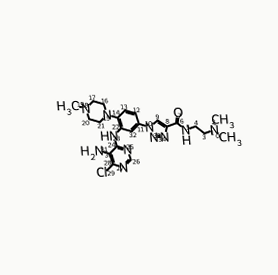 CN(C)CCNC(=O)c1cn(-c2ccc(N3CCN(C)CC3)c(Nc3ncnc(Cl)c3N)c2)nn1